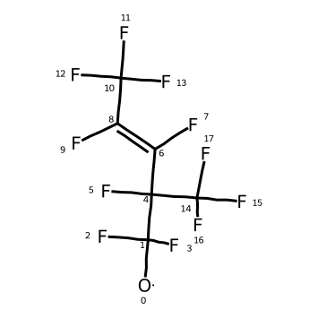 [O]C(F)(F)C(F)(C(F)=C(F)C(F)(F)F)C(F)(F)F